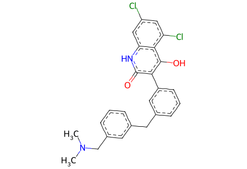 CN(C)Cc1cccc(Cc2cccc(-c3c(O)c4c(Cl)cc(Cl)cc4[nH]c3=O)c2)c1